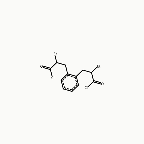 CCC(Cc1ccccc1CC(CC)C(=O)Cl)C(=O)Cl